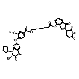 CC[C@@H]1C(=O)N(C)c2cnc(Nc3ccc(C(=O)NCCNCCCC(=O)Nc4cccc5c4CN(C4CCC(=O)NC4=O)C5=O)cc3OC)nc2N1C1CCCC1